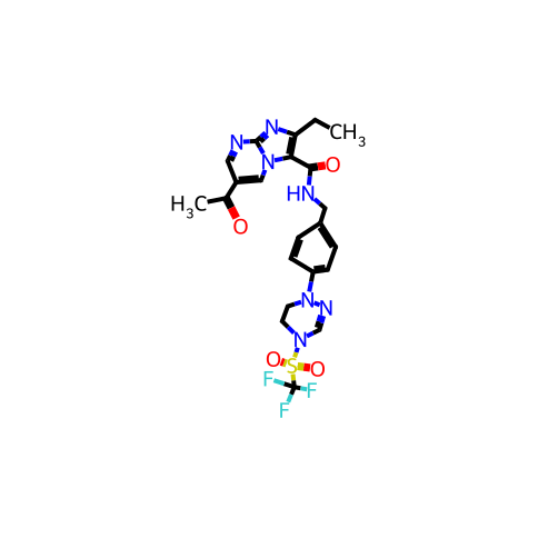 CCc1nc2ncc(C(C)=O)cn2c1C(=O)NCc1ccc(N2CCN(S(=O)(=O)C(F)(F)F)C=N2)cc1